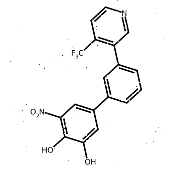 O=[N+]([O-])c1cc(-c2cccc(-c3cnccc3C(F)(F)F)c2)cc(O)c1O